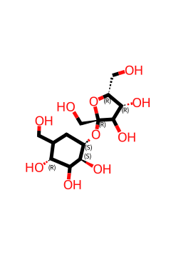 OCC1C[C@H](O[C@]2(CO)O[C@H](CO)[C@H](O)C2O)[C@@H](O)C(O)[C@@H]1O